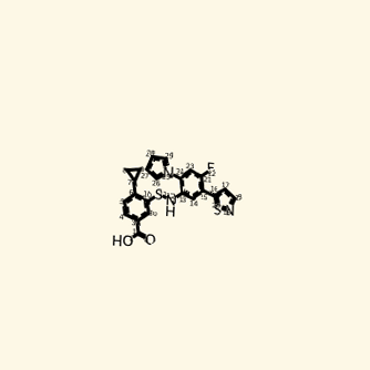 O=C(O)c1ccc(C2CC2)c(SNc2cc(-c3ccns3)c(F)cc2-n2cccc2)c1